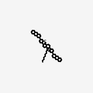 CCCCCCCCn1c2cc(-c3ccc4cc5ccccc5cc4c3)ccc2c2ccc3c(ccc4c5ccc(-c6ccc7cc8ccccc8cc7c6)cc5sc43)c21